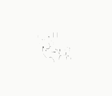 CC(Oc1nccc2ccc(C(=O)O)nc12)C1CC1